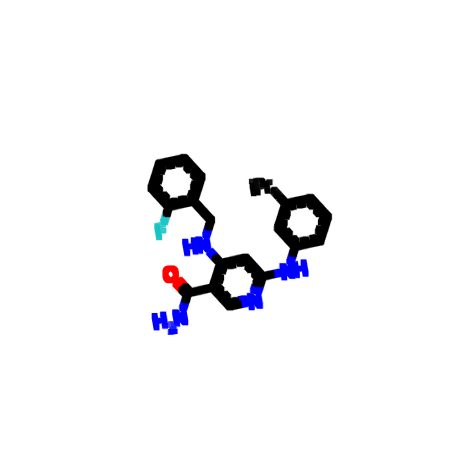 CC(C)c1cccc(Nc2cc(NCc3ccccc3F)c(C(N)=O)cn2)c1